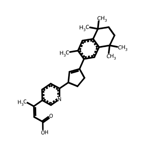 C/C(=C/C(=O)O)c1ccc(C2C=C(c3cc4c(cc3C)C(C)(C)CCC4(C)C)CC2)nc1